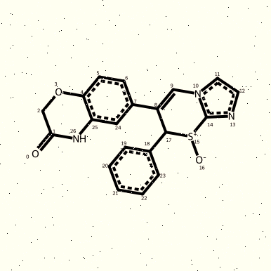 O=C1COc2ccc(C3=Cn4ccnc4[S+]([O-])C3c3ccccc3)cc2N1